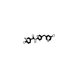 Cn1cc(C(=O)Nc2ccc(Cc3cncc(Cl)c3)cn2)ccc1=O